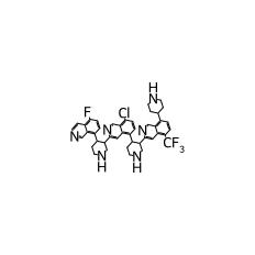 Fc1ccc(C2CCNCC2c2cc3c(C4CCNCC4c4cc5c(C(F)(F)F)ccc(C6CCNCC6)c5cn4)ccc(Cl)c3cn2)c2cnccc12